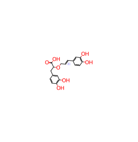 O=C(O)C(Cc1ccc(O)c(O)c1)OC/C=C/c1ccc(O)c(O)c1